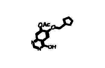 CC(=O)Oc1cc2ncnc(O)c2cc1OCC1CCCC1